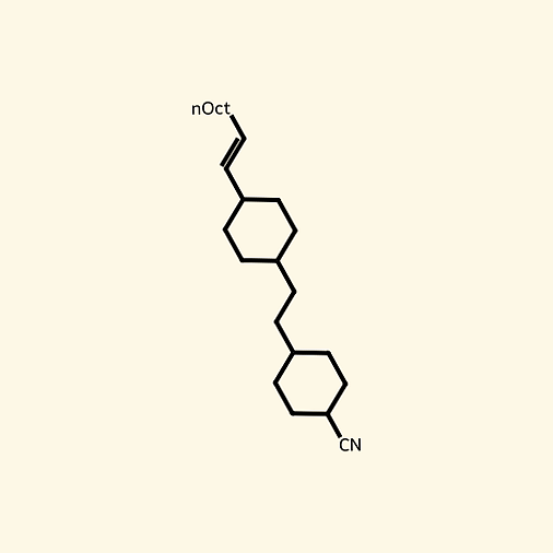 CCCCCCCCC=CC1CCC(CCC2CCC(C#N)CC2)CC1